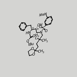 CNc1cccc(S(=O)(=O)N(C[C@@H](O)[C@H](Cc2ccccc2)NC(=O)OC(C)(C)C)CC(C)(C)CCC2(C)OCCO2)c1